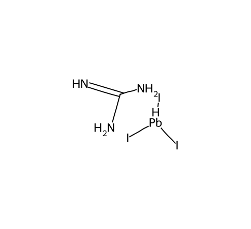 N=C(N)N.[I][PbH]([I])[I]